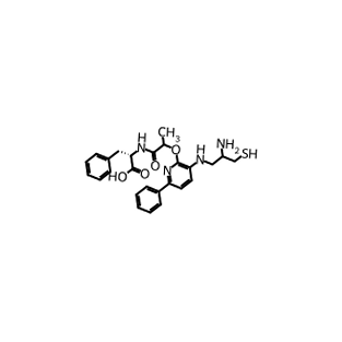 CC(Oc1nc(-c2ccccc2)ccc1NCC(N)CS)C(=O)N[C@@H](Cc1ccccc1)C(=O)O